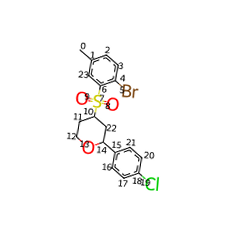 Cc1ccc(Br)c(S(=O)(=O)C2CCOC(c3ccc(Cl)cc3)C2)c1